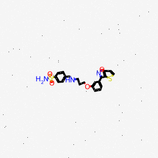 NS(=O)(=O)c1ccc(CNCCCOc2cccc(-c3noc4ccsc34)c2)cc1